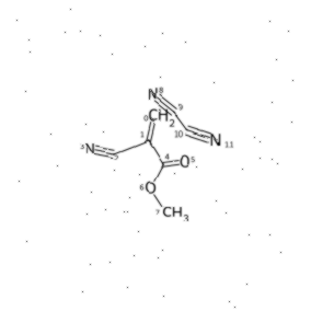 C=C(C#N)C(=O)OC.N#CC#N